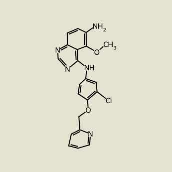 COc1c(N)ccc2ncnc(Nc3ccc(OCc4ccccn4)c(Cl)c3)c12